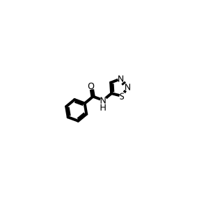 O=C(Nc1cnns1)c1ccccc1